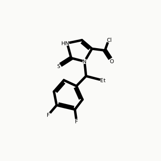 CCC(c1ccc(F)c(F)c1)n1c(C(=O)Cl)c[nH]c1=S